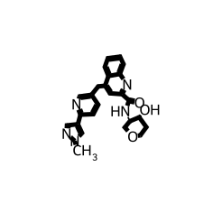 Cn1cc(-c2ccc(Cc3cc(C(=O)N[C@H]4COCC[C@@H]4O)nc4ccccc34)cn2)cn1